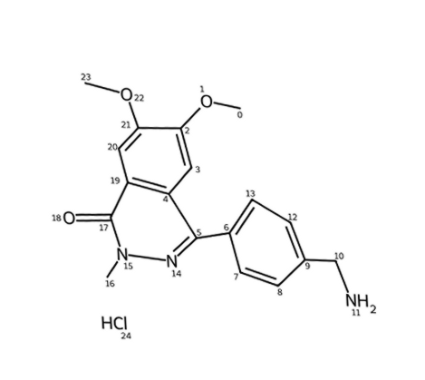 COc1cc2c(-c3ccc(CN)cc3)nn(C)c(=O)c2cc1OC.Cl